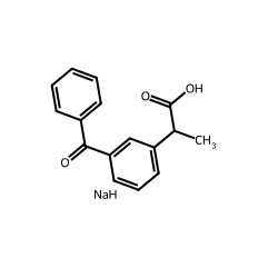 CC(C(=O)O)c1cccc(C(=O)c2ccccc2)c1.[NaH]